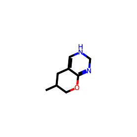 CC1COC2=NCNC=C2C1